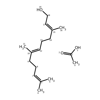 CC(=O)O.CC(C)=CCCC(C)=CCCC(C)=CCO